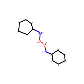 C1CCC(NOONC2CCCCC2)CC1